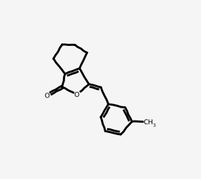 Cc1cccc(C=C2OC(=O)C3=C2CCCC3)c1